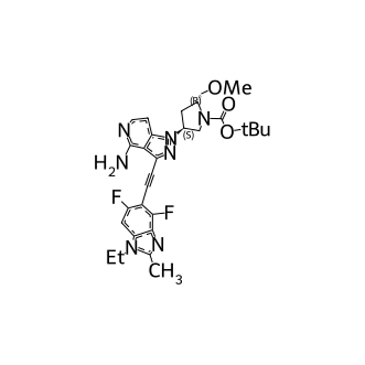 CCn1c(C)nc2c(F)c(C#Cc3nn([C@H]4C[C@H](COC)N(C(=O)OC(C)(C)C)C4)c4ccnc(N)c34)c(F)cc21